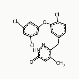 Cc1cc(=O)[nH]nc1Cc1ccc(Cl)c(Oc2cc(Cl)cc(Cl)c2)c1